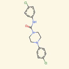 O=C(Nc1ccc(Cl)cc1)N1CCN(c2ccc(Cl)cc2)CC1